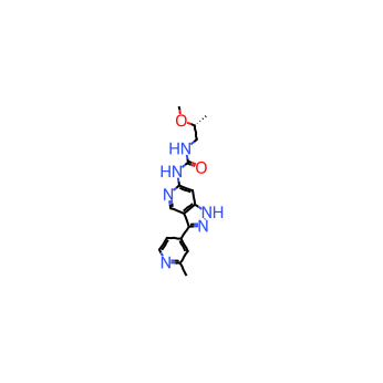 CO[C@H](C)CNC(=O)Nc1cc2[nH]nc(-c3ccnc(C)c3)c2cn1